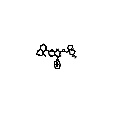 Cc1cccc2cccc(-c3ccc4c(N5CC6CCC(C5)N6)nc(OC[C@@]56CCCN5C[C@H](F)C6)nc4n3)c12